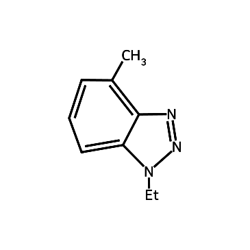 CCn1nnc2c(C)cccc21